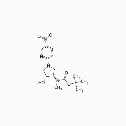 CN(C(=O)OC(C)(C)C)[C@@H]1CN(c2ccc([N+](=O)[O-])cn2)C[C@H]1O